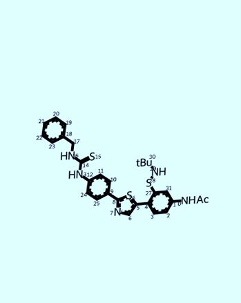 CC(=O)Nc1ccc(-c2cnc(-c3ccc(NC(=S)NCc4ccccc4)cc3)s2)c(SNC(C)(C)C)c1